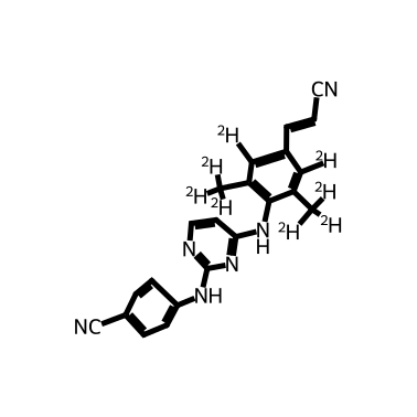 [2H]c1c(C=CC#N)c([2H])c(C([2H])([2H])[2H])c(Nc2ccnc(Nc3ccc(C#N)cc3)n2)c1C([2H])([2H])[2H]